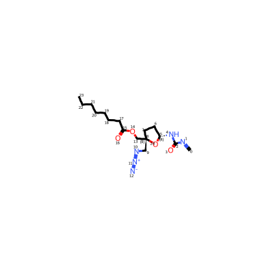 C=NC(=O)N[C@H]1CC[C@@](CN=[N+]=[N-])(COC(=O)CCCCCCC)O1